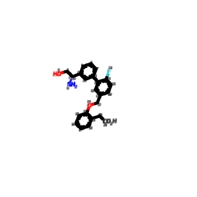 N[C@H](CO)c1cccc(-c2cc(COc3ccccc3CC(=O)O)ccc2F)c1